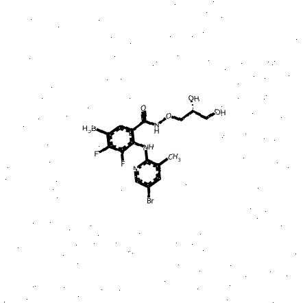 Bc1cc(C(=O)NOC[C@H](O)CO)c(Nc2ncc(Br)cc2C)c(F)c1F